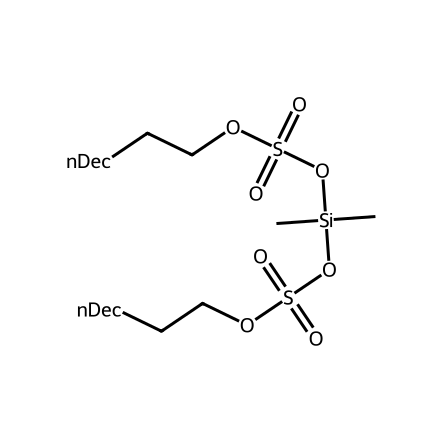 CCCCCCCCCCCCOS(=O)(=O)O[Si](C)(C)OS(=O)(=O)OCCCCCCCCCCCC